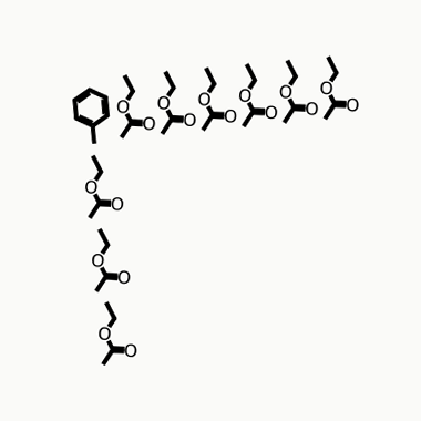 CCOC(C)=O.CCOC(C)=O.CCOC(C)=O.CCOC(C)=O.CCOC(C)=O.CCOC(C)=O.CCOC(C)=O.CCOC(C)=O.CCOC(C)=O.Cc1ccccc1